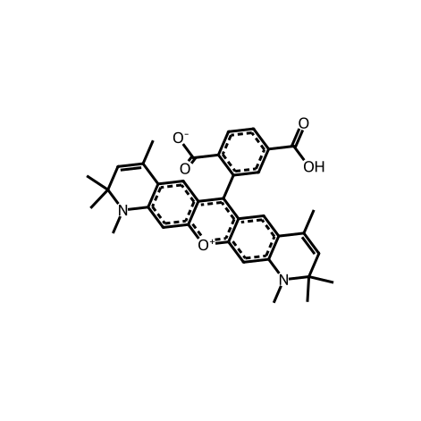 CC1=CC(C)(C)N(C)c2cc3[o+]c4cc5c(cc4c(-c4cc(C(=O)O)ccc4C(=O)[O-])c3cc21)C(C)=CC(C)(C)N5C